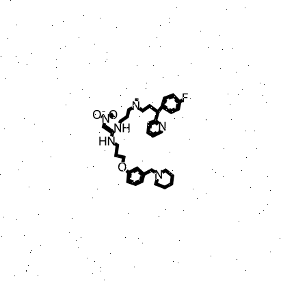 CN(CCCNC(=C[N+](=O)[O-])NCCCOc1cccc(CN2CCCCC2)c1)CCC(c1ccc(F)cc1)c1ccccn1